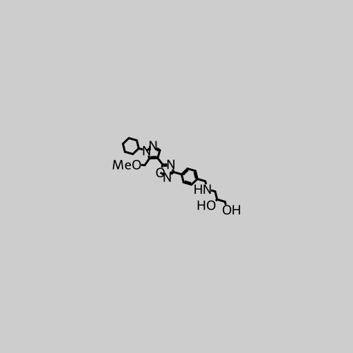 COCc1c(-c2nc(-c3ccc(CNCC(O)CO)cc3)no2)cnn1C1CCCCC1